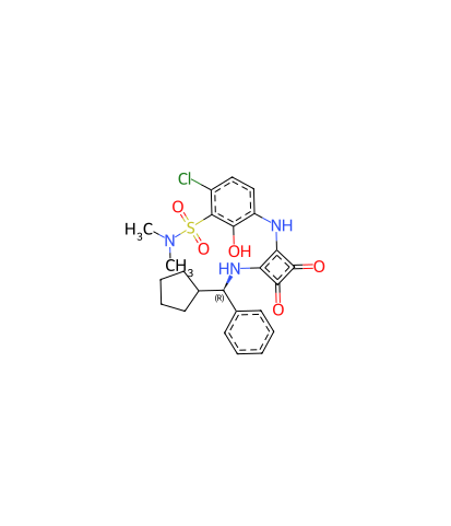 CN(C)S(=O)(=O)c1c(Cl)ccc(Nc2c(N[C@@H](c3ccccc3)C3CCCC3)c(=O)c2=O)c1O